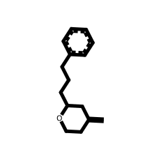 C=C1CCOC(CCCc2ccccc2)C1